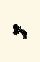 CN1CCC(Oc2cc(Oc3ccc(-c4nnc(C5CCCC5)o4)cc3)cc(C(=O)Nc3nccs3)c2)C1=O